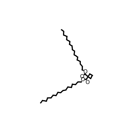 CCCCCCCCCCCCCCCCCOC(=O)C1(C(=O)OCCCCCCCCCCCCCCCCC)CCC1